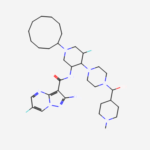 CN1CCC(C(O)N2CCN(C3C(F)CN(C4CCCCCCCCC4)CC3NC(=O)c3c(N)nn4cc(F)cnc34)CC2)CC1